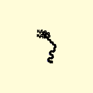 CC/C=C\C/C=C\C/C=C\C/C=C\C/C=C\C/C=C/CCC(=O)N[C@H]1C(=O)O[C@@H](C)[C@@H]1C